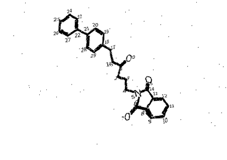 O=C(CCCN1C(=O)c2ccccc2C1=O)CCc1ccc(-c2ccccc2)cc1